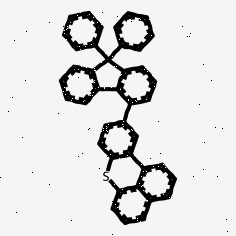 c1ccc(C2(c3ccccc3)c3ccccc3-c3c(-c4ccc5c(c4)-c4cccc6cccc(c46)S5)cccc32)cc1